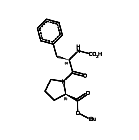 CC(C)(C)OC(=O)[C@H]1CCCN1C(=O)[C@H](Cc1ccccc1)NC(=O)O